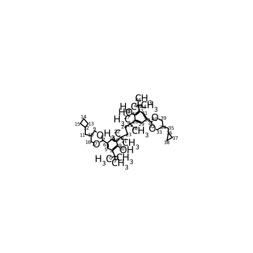 CC(C)(C)c1cc(C2OCC(CC3CCC3)CO2)cc(C(C)(C)CCC(C)(C)c2cc(C3OCC(CC4CC4)CO3)cc(C(C)(C)C)c2O)c1O